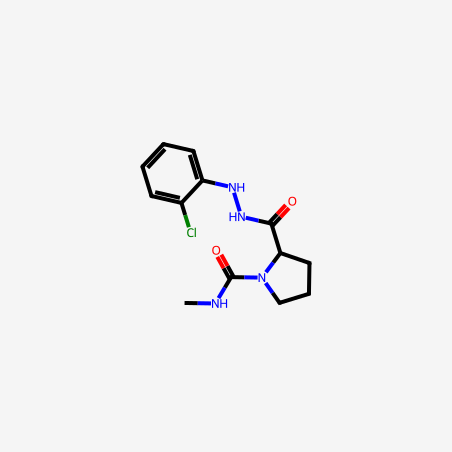 CNC(=O)N1CCCC1C(=O)NNc1ccccc1Cl